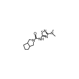 CN(C)c1nsc(NC(=O)N2CC3CCCC3C2)n1